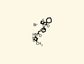 Cc1cc(NC(=O)C[N+]23CCC(CC2)C(OC(=O)C2(c4cccs4)CCCCCC2)C3)no1.[Br-]